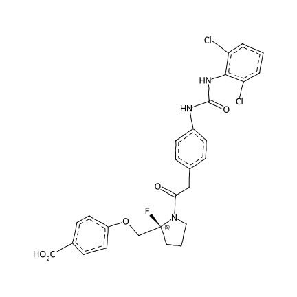 O=C(Nc1ccc(CC(=O)N2CCC[C@]2(F)COc2ccc(C(=O)O)cc2)cc1)Nc1c(Cl)cccc1Cl